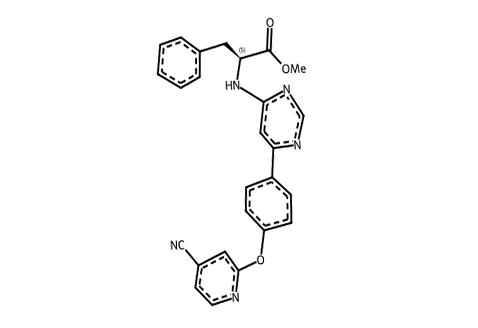 COC(=O)[C@H](Cc1ccccc1)Nc1cc(-c2ccc(Oc3cc(C#N)ccn3)cc2)ncn1